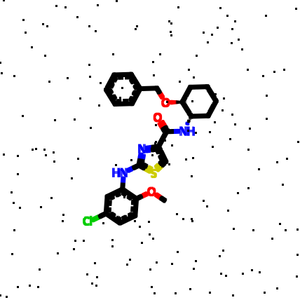 COc1ccc(Cl)cc1Nc1nc(C(=O)N[C@H]2CCCC[C@@H]2OCc2ccccc2)cs1